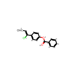 O=CC=C(Cl)c1ccc(OC(=O)c2ccccc2)cc1